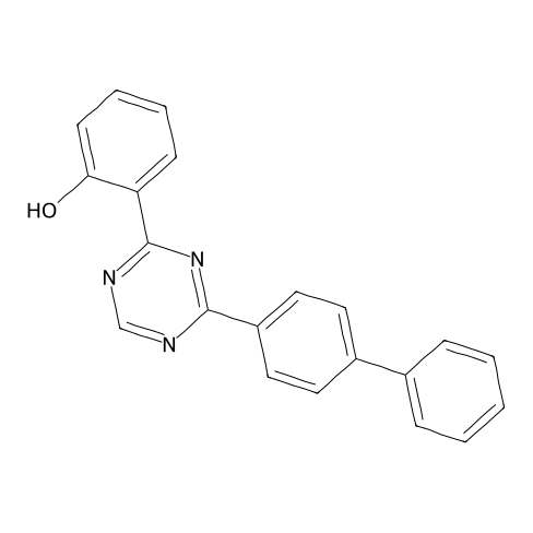 Oc1ccccc1-c1ncnc(-c2ccc(-c3ccccc3)cc2)n1